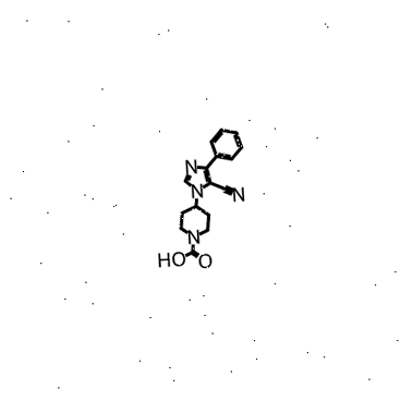 N#Cc1c(-c2ccccc2)ncn1C1CCN(C(=O)O)CC1